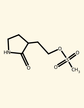 CS(=O)(=O)OCCC1CCNC1=O